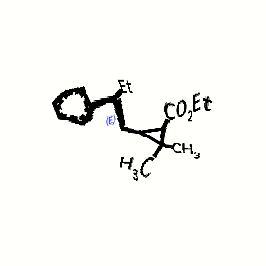 CCOC(=O)C1C(/C=C(\CC)c2ccccc2)C1(C)C